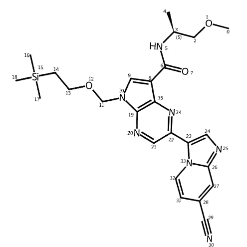 COC[C@H](C)NC(=O)c1cn(COCC[Si](C)(C)C)c2ncc(-c3cnc4cc(C#N)ccn34)nc12